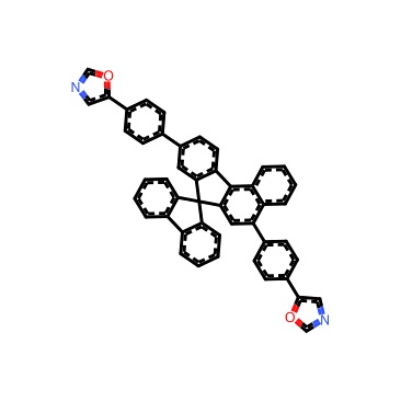 c1ccc2c(c1)-c1ccccc1C21c2cc(-c3ccc(-c4cnco4)cc3)ccc2-c2c1cc(-c1ccc(-c3cnco3)cc1)c1ccccc21